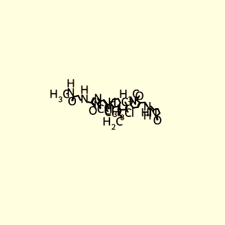 C=C/C=C(\C(Cl)=C(/C)[C@@H]1CC=C(CNCC2CCC(=O)N2)C(OC)=N1)C1CCC[C@H](/C(=C/c2ncc(CNCCC(=O)NC)c(=O)n2C)CC)C1Cl